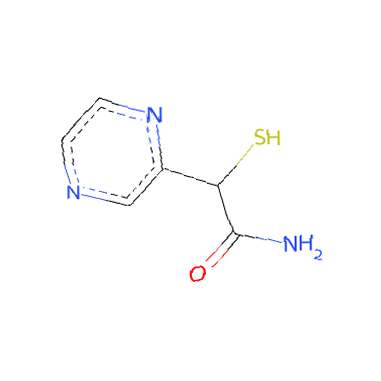 NC(=O)C(S)c1cnccn1